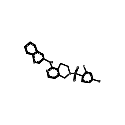 O=S(=O)(c1ccc(F)cc1F)N1CCc2c(ccnc2Nc2cnc3ccccc3c2)C1